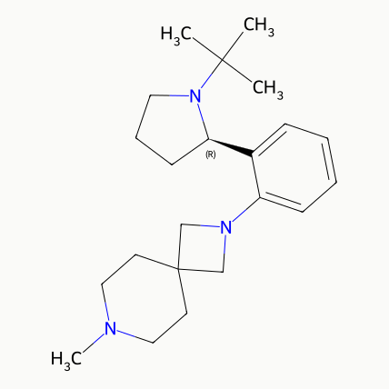 CN1CCC2(CC1)CN(c1ccccc1[C@H]1CCCN1C(C)(C)C)C2